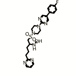 O=S(=O)(CC(CCCc1ncccn1)NO)N1CCN(c2ncc(-c3ccc(F)cc3)cn2)CC1